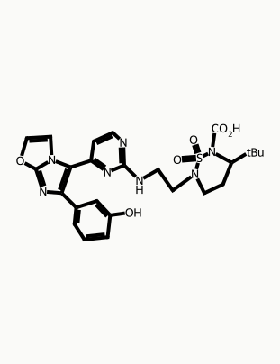 CC(C)(C)C1CCN(CCNc2nccc(-c3c(-c4cccc(O)c4)nc4occn34)n2)S(=O)(=O)N1C(=O)O